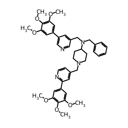 COc1cc(-c2cncc(CN(Cc3ccccc3)C3CCN(Cc4ccnc(-c5cc(OC)c(OC)c(OC)c5)c4)CC3)c2)cc(OC)c1OC